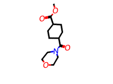 COC(=O)C1CCC(C(=O)N2CCOCC2)CC1